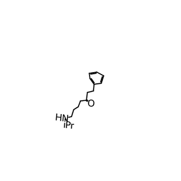 CC(C)NCCCCC(=O)CCc1ccccc1